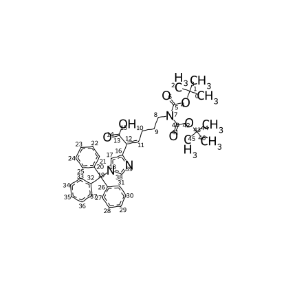 CC(C)(C)OC(=O)N(CCCC=C(C(=O)O)c1cn(C(c2ccccc2)(c2ccccc2)c2ccccc2)cn1)C(=O)OC(C)(C)C